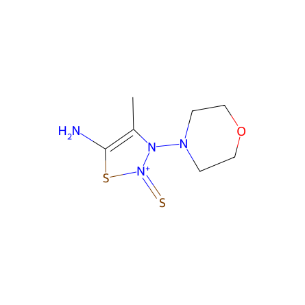 Cc1c(N)s[n+](=S)n1N1CCOCC1